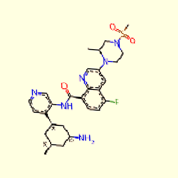 CC1CN(S(C)(=O)=O)CCN1c1cnc2c(C(=O)Nc3cnccc3[C@@H]3C[C@H](C)C[C@H](N)C3)ccc(F)c2c1